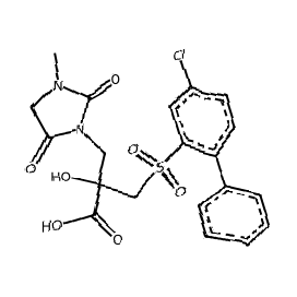 CN1CC(=O)N(CC(O)(CS(=O)(=O)c2cc(Cl)ccc2-c2ccccc2)C(=O)O)C1=O